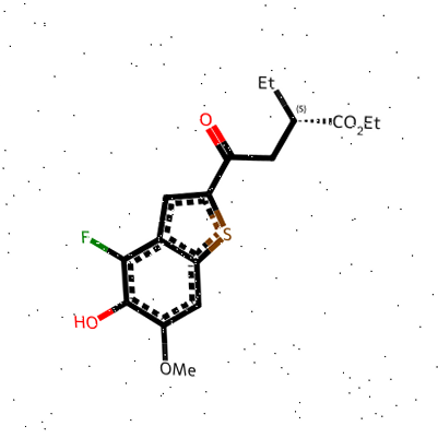 CCOC(=O)[C@@H](CC)CC(=O)c1cc2c(F)c(O)c(OC)cc2s1